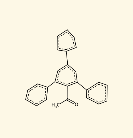 CC(=O)c1c(-c2ccccc2)cc(-c2ccccc2)cc1-c1ccccc1